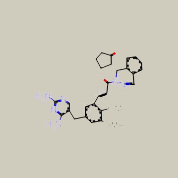 COc1cc(Cc2cnc(N)nc2N)cc(/C=C/C(=O)N2N=Cc3ccccc3C2[C@@H]2CCCC2=O)c1OC